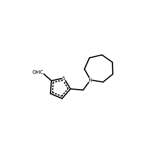 O=Cc1ccc(CN2CCCCCC2)s1